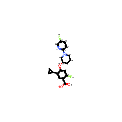 O=C(O)c1cc(C2CC2)c(O[C@@H]2CCCN(c3ccc(F)cn3)C2)cc1F